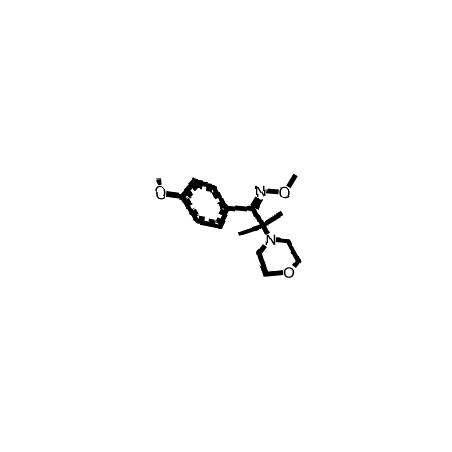 CON=C(c1ccc(OC)cc1)C(C)(C)N1CCOCC1